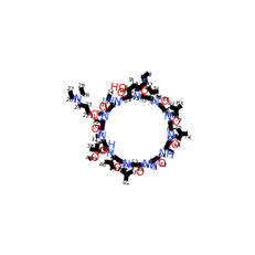 C/C=C/C[C@@H](C)[C@@H](O)[C@H]1C(=O)N[C@@H](CC)C(=O)N(C)[C@H](COCCCN(CC)CC)C(=O)N(C)[C@@H](CC(C)(C)OC)C(=O)N[C@@H](C(C)C)C(=O)N(C)[C@@H](CC(C)C)C(=O)N[C@@H](C)C(=O)N[C@H](C)C(=O)N(C)[C@@H](CC(C)C)C(=O)N(C)[C@@H](CC(C)C)C(=O)N(C)[C@@H](C(C)C)C(=O)N1C